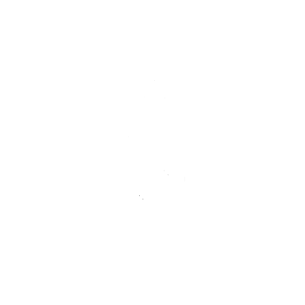 CN(Cc1cccc(B2OC(C)(C)C(C)(C)O2)c1)C(=O)CNC(=O)O